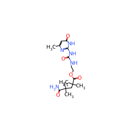 CCC(C)(CC(C)(C)C(=O)OCCNC(=O)Nc1nc(C)cc(=O)[nH]1)C(N)=O